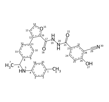 Cc1ccc(NC(C)c2ccc(-c3ccoc3C(=O)NNC(=O)c3ccc(O)c(C#N)c3)cc2)cc1